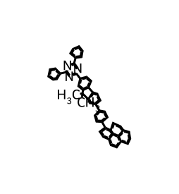 CC1(C)c2cc(-c3ccc(-c4ccc5ccc6cccc7ccc4c5c67)cc3)ccc2-c2ccc(-c3nc(-c4ccccc4)nc(-c4ccccc4)n3)cc21